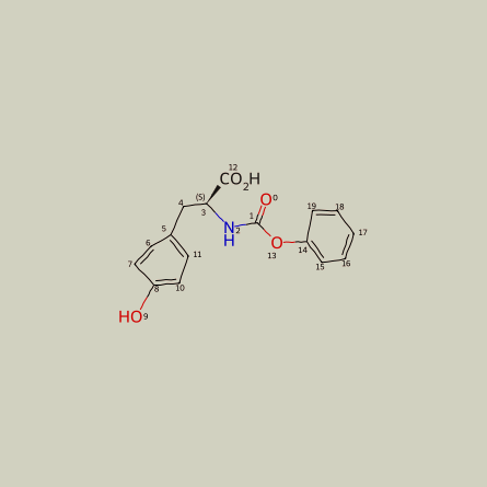 O=C(N[C@@H](Cc1ccc(O)cc1)C(=O)O)Oc1ccccc1